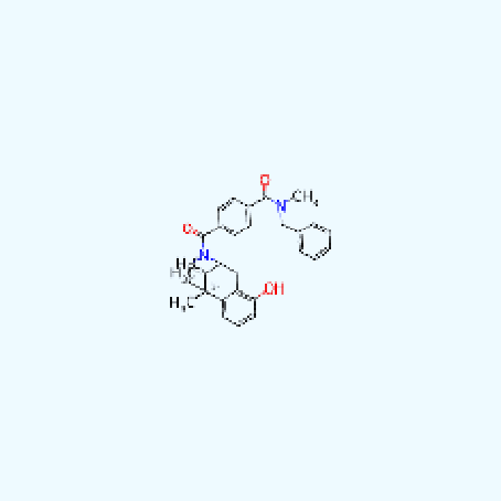 CN(Cc1ccccc1)C(=O)c1ccc(C(=O)N2CC[C@@]3(C)c4cccc(O)c4CC2C3(C)C)cc1